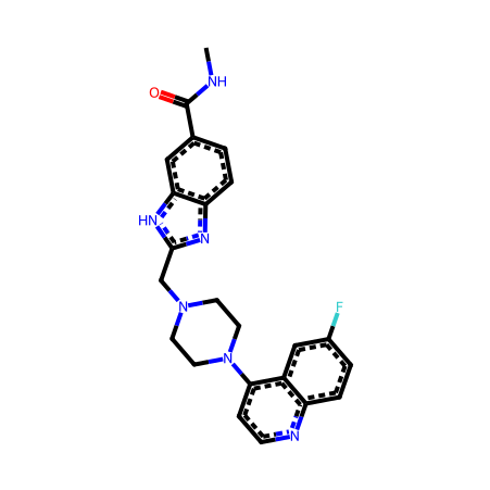 CNC(=O)c1ccc2nc(CN3CCN(c4ccnc5ccc(F)cc45)CC3)[nH]c2c1